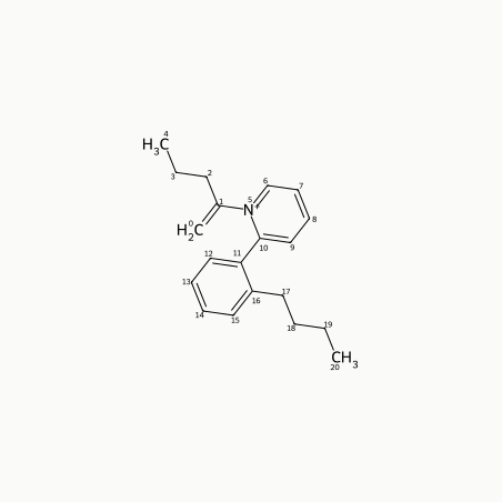 C=C(CCC)[n+]1ccccc1-c1ccccc1CCCC